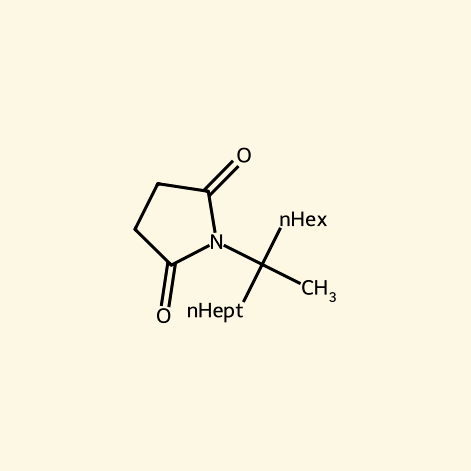 CCCCCCCC(C)(CCCCCC)N1C(=O)CCC1=O